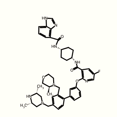 C[C@@H]1CN(Cc2ccc(-c3cccc(Oc4ncc(F)cc4C(=O)N[C@H]4CC[C@@H](NC(=O)c5cccc6[nH]cnc56)CC4)c3)c(CN3CCOC[C@@H]3C)c2)C[C@H](C)N1